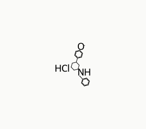 COc1ccc(C2CCCC(NCc3ccccc3)C2)cc1.Cl